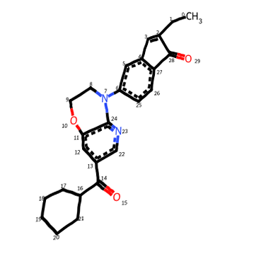 CCC1=Cc2cc(N3CCOc4cc(C(=O)C5CCCCC5)cnc43)ccc2C1=O